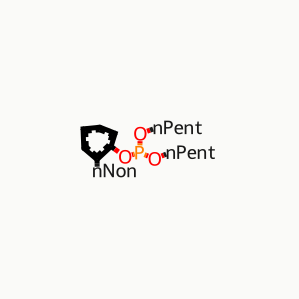 CCCCCCCCCc1ccccc1OP(OCCCCC)OCCCCC